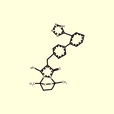 CCCc1c(Cc2ccc(-c3ccccc3-c3nnn[nH]3)cc2)c(=O)n2n1C1(C)CCC2(C)CC1